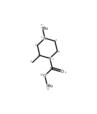 CC1CN(C(C)(C)C)CCN1C(=O)OC(C)(C)C